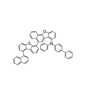 c1ccc(-c2ccc(N(c3ccccc3)c3cccc4oc5c6ccccc6c(-c6cccc7c6sc6cccc(-c8cccc9ccccc89)c67)cc5c34)cc2)cc1